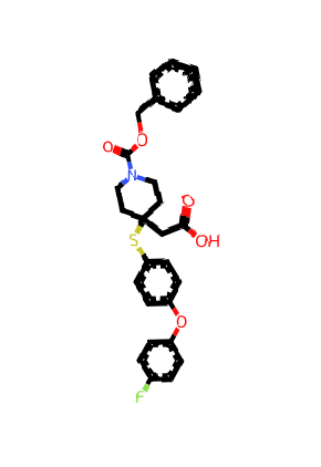 O=C(O)CC1(Sc2ccc(Oc3ccc(F)cc3)cc2)CCN(C(=O)OCc2ccccc2)CC1